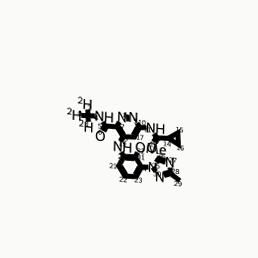 [2H]C([2H])([2H])NC(=O)c1nnc(NC(=O)C2CC2)cc1Nc1cccc(-n2cnc(C)n2)c1OC